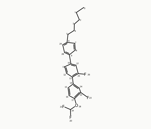 CCCCCCc1ccc(-c2ccc(-c3ccc(OC(F)F)c(F)c3)c(F)c2)cc1